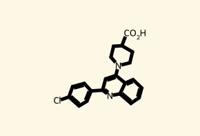 O=C(O)C1CCN(c2cc(-c3ccc(Cl)cc3)nc3ccccc23)CC1